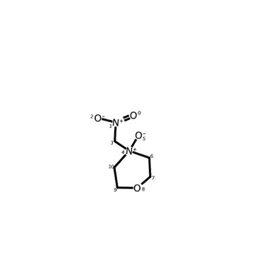 O=[N+]([O-])C[N+]1([O-])CCOCC1